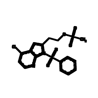 CS(=O)(=O)OCCc1cc2c(Cl)ccnc2n1S(=O)(=O)c1ccccc1